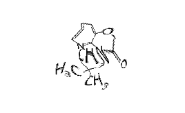 CC(C)(C)CN1C(=O)COc2cccnc21